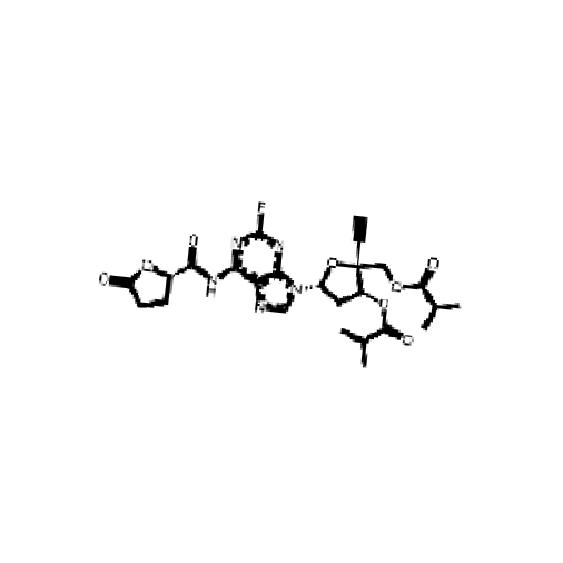 C#C[C@]1(COC(=O)C(C)C)O[C@@H](n2cnc3c(NC(=O)[C@H]4CCC(=O)O4)nc(F)nc32)C[C@@H]1OC(=O)C(C)C